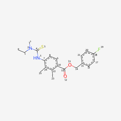 CCN(C)C(=S)Nc1ccc(C(=O)OCc2ccc(F)cc2)c(C)c1C